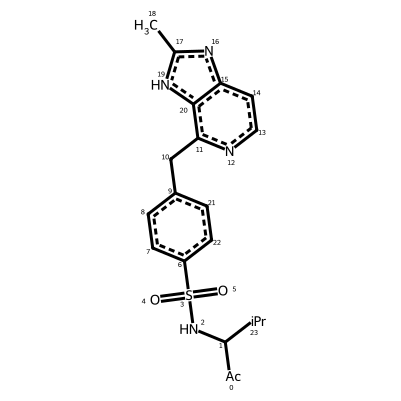 CC(=O)C(NS(=O)(=O)c1ccc(Cc2nccc3nc(C)[nH]c23)cc1)C(C)C